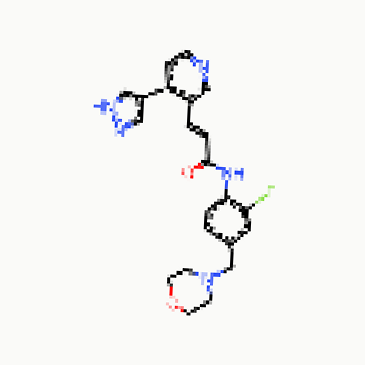 O=C(C=Cc1cnccc1-c1cn[nH]c1)Nc1ccc(CN2CCOCC2)cc1F